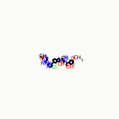 COc1cc(F)cc(C(CO)NC(=O)C(C)N2Cc3ccc(-c4nc(Nc5ccnc(OC)n5)ncc4Cl)cc3C2=O)c1